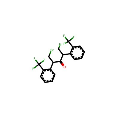 O=C(C(CBr)c1ccccc1C(F)(F)F)C(CBr)c1ccccc1C(F)(F)F